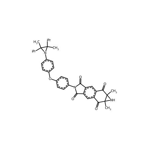 CC(C)C1(C)N(c2ccc(Oc3ccc(N4C(=O)c5cc6c(cc5C4=O)C(=O)C4(C)NC4(C)C6=O)cc3)cc2)C1(C)C(C)C